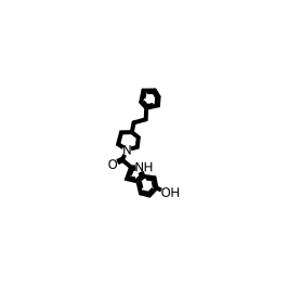 O=C(c1cc2ccc(O)cc2[nH]1)N1CCC(CCc2ccccc2)CC1